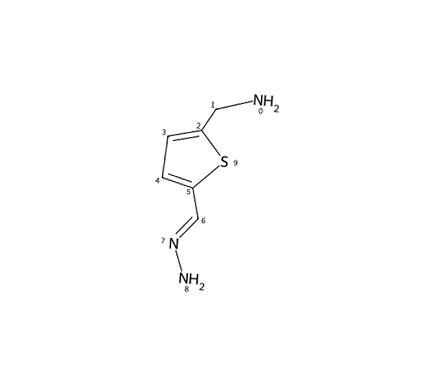 NCc1ccc(C=NN)s1